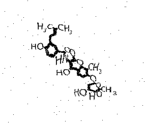 CC(C)=CCc1cc(C(=O)Nc2c(O)c3ccc(O[C@H]4CC(O)[C@H]5OC5(C)O4)c(C)c3oc2=O)ccc1O